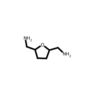 NCC1CCC(CN)O1